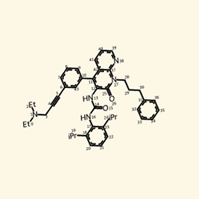 CCN(CC)CC#Cc1cccc(-c2c(NC(=O)Nc3c(C(C)C)cccc3C(C)C)c(=O)n(CCCc3ccccc3)c3ncccc23)c1